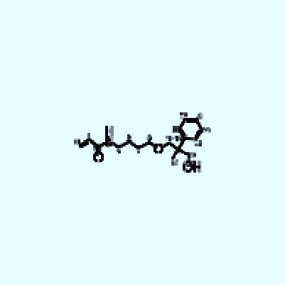 C=CC(=O)NCCCCOCC(C)(CO)c1ccccc1